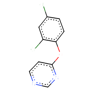 Clc1ccc(Oc2ccncn2)c(Cl)c1